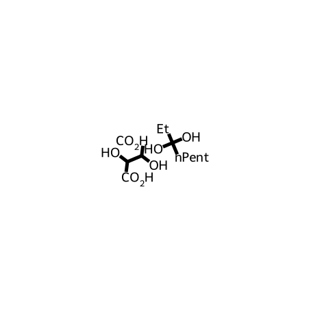 CCCCCC(O)(O)CC.O=C(O)C(O)C(O)C(=O)O